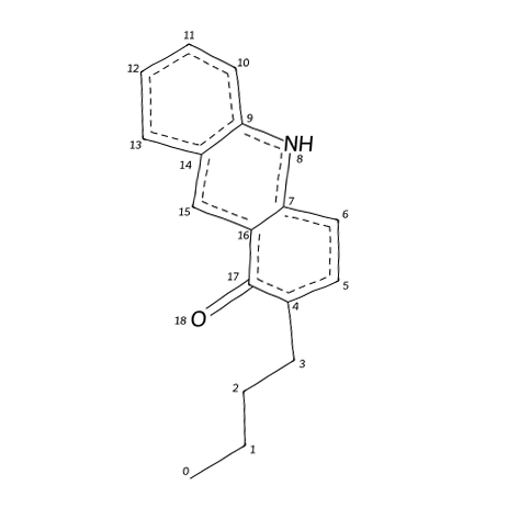 CCCCc1ccc2[nH]c3ccccc3cc-2c1=O